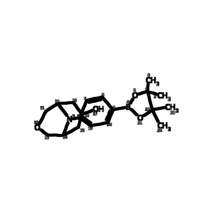 CC1(C)OB(c2ccc(N3C4COCC3CC(O)C4)cc2)OC1(C)C